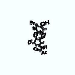 CC(=O)C(=O)Nc1cc(Cl)c(Oc2ncc(O)c(C(C)C)n2)c(Cl)c1